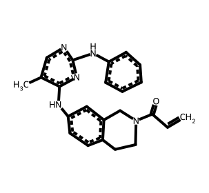 C=CC(=O)N1CCc2ccc(Nc3nc(Nc4ccccc4)ncc3C)cc2C1